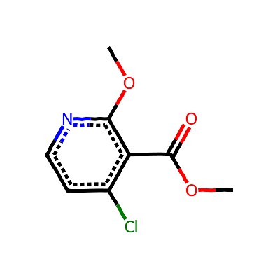 COC(=O)c1c(Cl)ccnc1OC